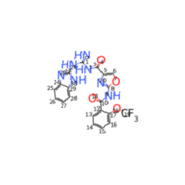 N=C(NC(=O)c1coc(NC(=O)c2ccccc2OC(F)(F)F)n1)Nc1nc2ccccc2[nH]1